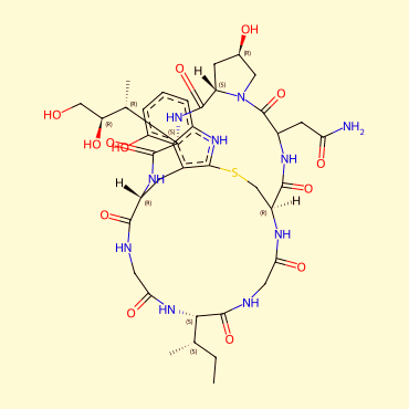 CC[C@H](C)[C@@H]1NC(=O)CNC(=O)[C@H]2Cc3c([nH]c4cccc(O)c34)SC[C@H](NC(=O)CNC1=O)C(=O)NC(CC(N)=O)C(=O)N1C[C@H](O)C[C@H]1C(=O)N[C@@H]([C@@H](C)[C@@H](O)CO)C(=O)N2